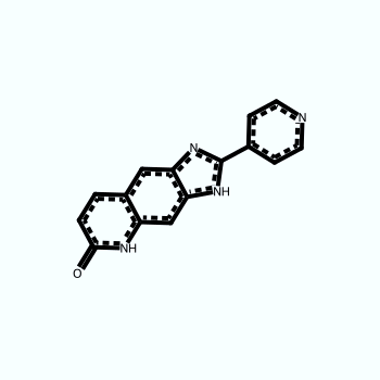 O=c1ccc2cc3nc(-c4ccncc4)[nH]c3cc2[nH]1